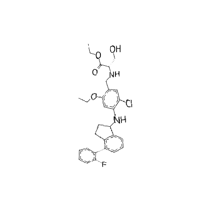 CCOC(=O)[C@H](CO)NCc1cc(Cl)c(NC2CCc3c(-c4ccccc4F)cccc32)cc1OCC